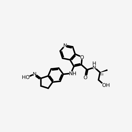 C[C@@H](CO)NC(=O)c1oc2cnccc2c1Nc1ccc2c(c1)CCC2=NO